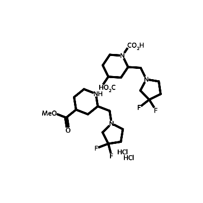 COC(=O)C1CCNC(CN2CCC(F)(F)C2)C1.Cl.Cl.O=C(O)C1CCN(C(=O)O)C(CN2CCC(F)(F)C2)C1